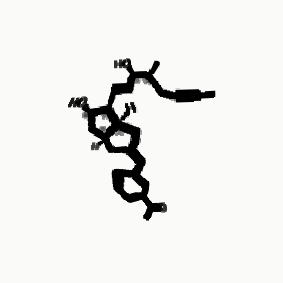 CC#CC[C@H](C)[C@H](O)C=C[C@H]1[C@H]2CC(=Cc3cccc(C(C)=O)c3)C[C@H]2C[C@H]1O